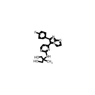 CC(CO)(CO)Nc1nccc(-c2c(-c3ccc(F)cc3)nc3occn23)n1